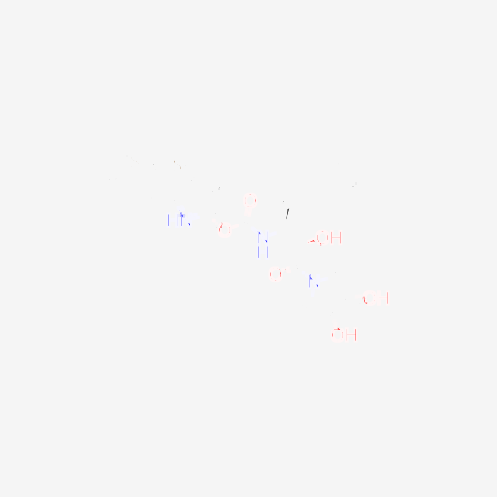 O=C(N[C@@H](Cc1ccccc1)[C@@H](O)C(=O)N1C[C@@H](O)[C@@H](O)C1)Oc1cc2sc3sccc3c2[nH]1